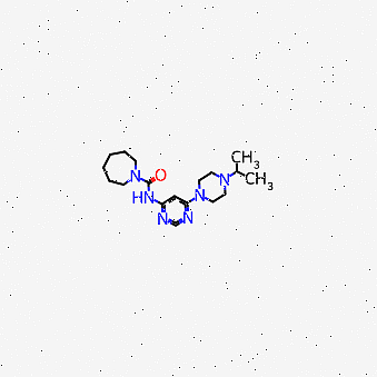 CC(C)N1CCN(c2cc(NC(=O)N3CCCCCC3)ncn2)CC1